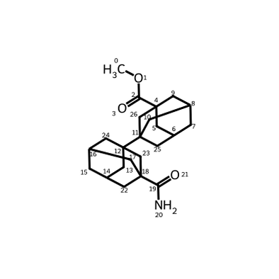 COC(=O)C12CC3CC(C1)CC(C14CC5CC(CC(C(N)=O)(C5)C1)C4)(C3)C2